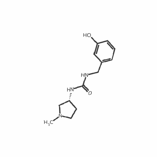 CN1CC[C@@H](NC(=O)NCc2cccc(O)c2)C1